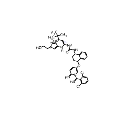 CC(C)(C)C(=N)/C=C(/NC(=O)NC1CCC(Oc2ccc(=N)n(C(=N)c3c(Cl)cccc3Cl)c2)c2ccccc21)Nc1cnn(CCO)c1